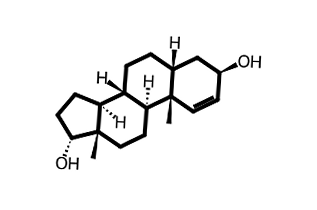 C[C@]12C=C[C@H](O)C[C@H]1CC[C@@H]1[C@@H]2CC[C@]2(C)[C@H](O)CC[C@@H]12